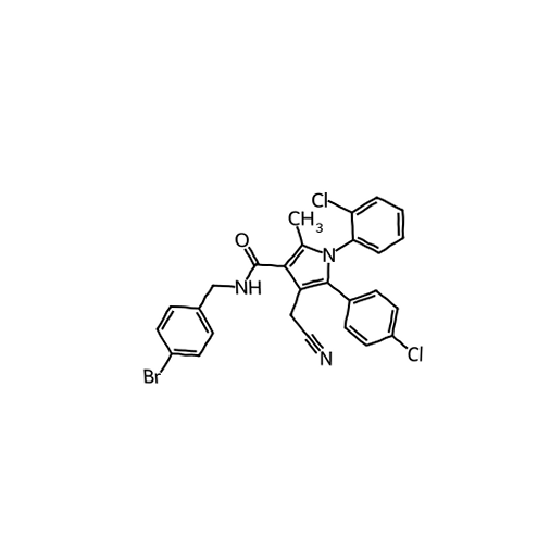 Cc1c(C(=O)NCc2ccc(Br)cc2)c(CC#N)c(-c2ccc(Cl)cc2)n1-c1ccccc1Cl